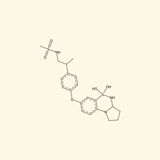 CC(CNS(C)(=O)=O)c1ccc(Oc2ccc3c(c2)S(O)(O)NC2CCCN32)cc1